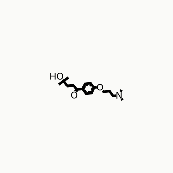 CN(C)CCCOc1ccc(C(=O)C=CC(C)(C)O)cc1